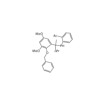 CCCC(C)(Pc1ccccc1C(C)=O)c1cc(OC)cc(OC)c1OCc1ccccc1